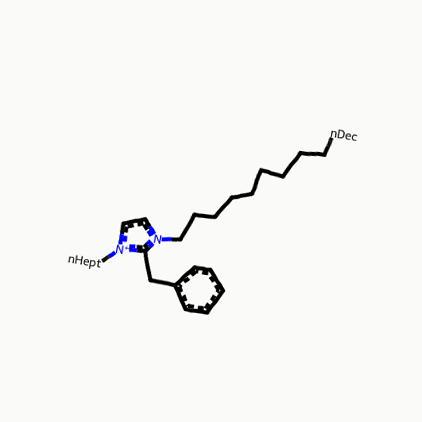 CCCCCCCCCCCCCCCCCCCn1cc[n+](CCCCCCC)c1Cc1ccccc1